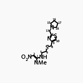 CNC(=C[N+](=O)[O-])NCCSCc1csc(CN2CCCC2)n1